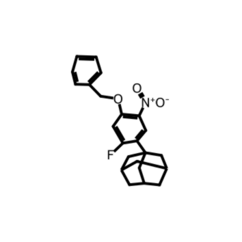 O=[N+]([O-])c1cc(C23CC4CC(CC(C4)C2)C3)c(F)cc1OCc1ccccc1